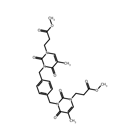 COC(=O)CCn1cc(C)c(=O)n(Cc2ccc(Cn3c(=O)c(C)cn(CCC(=O)OC)c3=O)cc2)c1=O